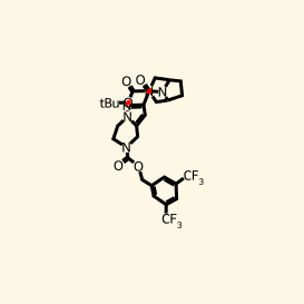 CC(C)(C)OC(=O)N1CC2CCC(C1)N2C(=O)c1cc2n(n1)CCN(C(=O)OCc1cc(C(F)(F)F)cc(C(F)(F)F)c1)C2